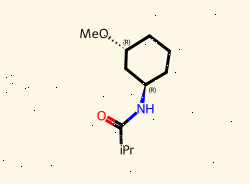 CO[C@@H]1CCC[C@@H](NC(=O)C(C)C)C1